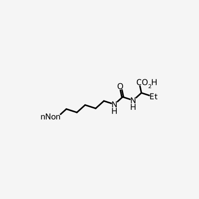 CCCCCCCCCCCCCCNC(=O)NC(CC)C(=O)O